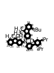 CC(C)c1cc(C(C)C)c2c(c1)oc1c(N(c3ccc4c(c3)C(C)(C)c3ccccc3-4)c3ccc4c(c3)C(C)(C)c3cccc(C(C)(C)C)c3-4)cccc12